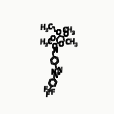 CCCO[C@@H]1[C@@H](OC)[C@H](C)O[C@@H](O/N=C/c2ccc(-c3ncn(-c4ccc(C(F)(F)F)cc4)n3)cc2)[C@@H]1OC